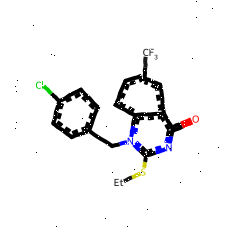 CCSc1nc(=O)c2cc(C(F)(F)F)ccc2n1Cc1ccc(Cl)cc1